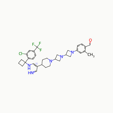 Cc1cc(N2CC(N3CC(N4CCC(/C(C=N)=C/NC5(c6ccc(C(F)(F)F)cc6Cl)CCC5)CC4)C3)C2)ccc1C=O